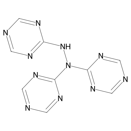 c1ncnc(NN(c2ncncn2)c2ncncn2)n1